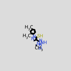 CCN1NNN=C1c1cnn(-c2ccc(C)cc2C)c1S